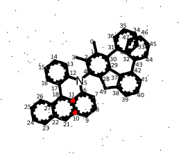 Cc1c(C)c(N(c2ccccc2)c2ccccc2-c2cccc3ccccc23)c2c(c1-c1ccccc1)-c1c(cccc1-c1ccccc1)C2